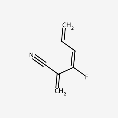 C=C/C=C(/F)C(=C)C#N